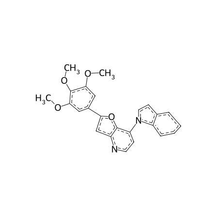 COc1cc(-c2cc3nccc(-n4ccc5ccccc54)c3o2)cc(OC)c1OC